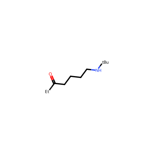 CCC(=O)CCCCNC(C)(C)C